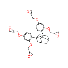 c1cc(C23CC4CC(C2)CC(c2ccc(OC[C@@H]5CO5)cc2OCC2CO2)(C4)C3)c(OCC2CO2)cc1OCC1CO1